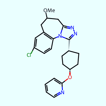 COC1Cc2cc(Cl)ccc2-n2c(nnc2[C@H]2CC[C@H](Oc3ccccn3)CC2)C1